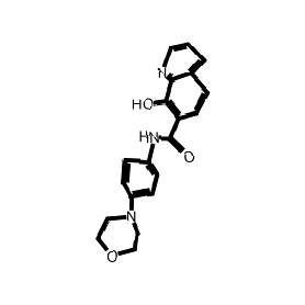 O=C(Nc1ccc(N2CCOCC2)cc1)c1ccc2cccnc2c1O